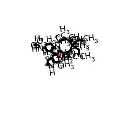 C=C(C)CC(C)(C)C1(C(C)(C)CCC)CC(C)(C)CC(C)(C)N(c2ccc(N[SH](=O)=O)cc2-c2c[nH]c(=O)c3[nH]ccc23)CC(C)(C)CC1(C)C